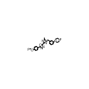 Cc1nc(-c2nnc(-c3ccc(OCF)cc3)o2)nn1Cc1cccc(N2CCN(C)CC2)c1